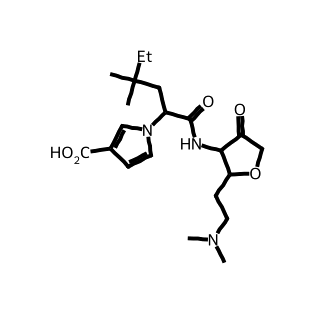 [CH2]CC(C)(C)CC(C(=O)NC1C(=O)COC1CCN(C)C)n1ccc(C(=O)O)c1